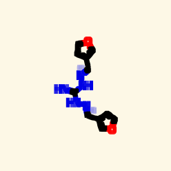 N=C(N/N=C/c1ccoc1)N/N=C/c1ccoc1